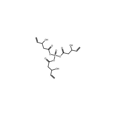 C=CC(O)CC(=O)OP(=O)(OC(=O)CC(O)C=C)OC(=O)CC(O)C=C